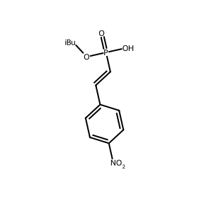 CCC(C)OP(=O)(O)C=Cc1ccc([N+](=O)[O-])cc1